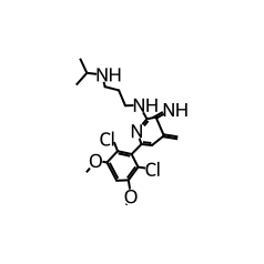 C=C1C=C(c2c(Cl)c(OC)cc(OC)c2Cl)N=C(NCCCNC(C)C)C1=N